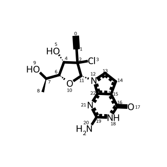 C#CC1(Cl)[C@@H](O)[C@@H]([C@@H](C)O)O[C@H]1n1ccc2c(=O)[nH]c(N)nc21